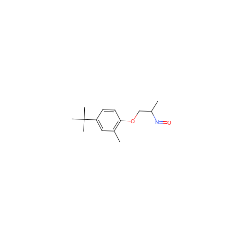 Cc1cc(C(C)(C)C)ccc1OCC(C)N=O